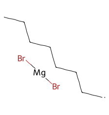 [Br][Mg][Br].[CH2]CCCCCCC